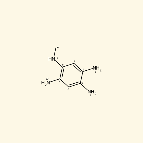 CNc1cc(N)c(N)cc1N